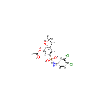 CC(=O)Oc1cc(S(=O)(=O)Nc2ccc(Cl)c(Cl)c2)cc2c1OC(C)(C)C2